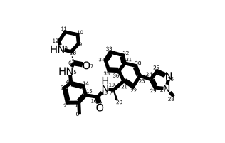 Cc1ccc(NC(=O)[C@H]2CCCCN2)cc1C(=O)N[C@H](C)c1cc(-c2cnn(C)c2)cc2ccccc12